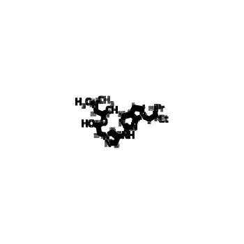 CC[C@H](Cn1ccc2cnc(Nc3cnn(CC(O)OC(C)CN(C)C)c3)nc21)C(C)C